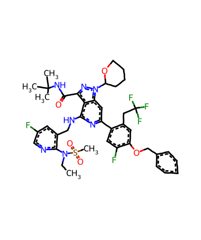 CCN(c1ncc(F)cc1CNc1nc(-c2cc(F)c(OCc3ccccc3)cc2CC(F)(F)F)cc2c1c(C(=O)NC(C)(C)C)nn2C1CCCCO1)S(C)(=O)=O